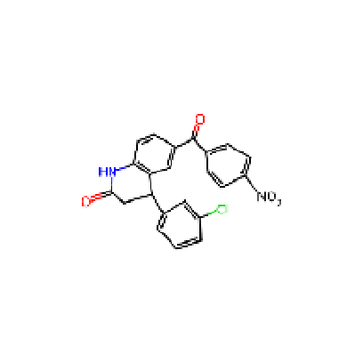 O=C1CC(c2cccc(Cl)c2)c2cc(C(=O)c3ccc([N+](=O)[O-])cc3)ccc2N1